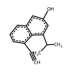 C#Cc1cccc2cc(O)cc(C(C)C)c12